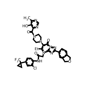 CCc1c(N2CCN(C(=O)c3ncnc(C)c3O)CC2)c(=O)n2nc(-c3ccc4c(c3)COC4)nc2n1CC(=O)Nc1ccc(C2(C(F)(F)F)CC2)cc1Cl